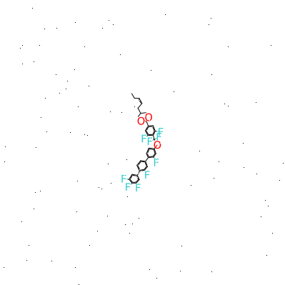 CC/C=C\CC1COC(c2cc(F)c(C(F)(F)Oc3ccc(-c4ccc(-c5cc(F)c(F)c(F)c5)c(F)c4)c(F)c3)c(F)c2)OC1